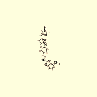 Cc1cccc2sc(NCCc3ccc(/N=C4/N[C@@H](Cc5c[nH]cn5)CS4)cc3)nc12